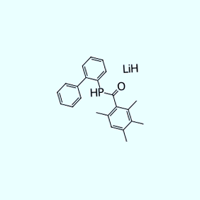 Cc1cc(C)c(C(=O)Pc2ccccc2-c2ccccc2)c(C)c1C.[LiH]